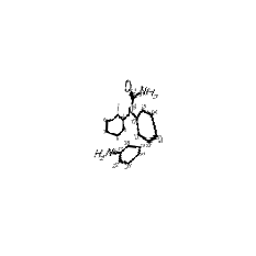 NC(=O)N(C1CCCCC1)C1CCCCC1.NC1CCCCC1